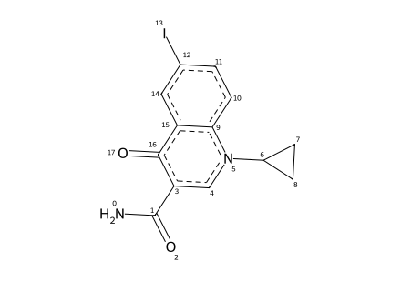 NC(=O)c1cn(C2CC2)c2ccc(I)cc2c1=O